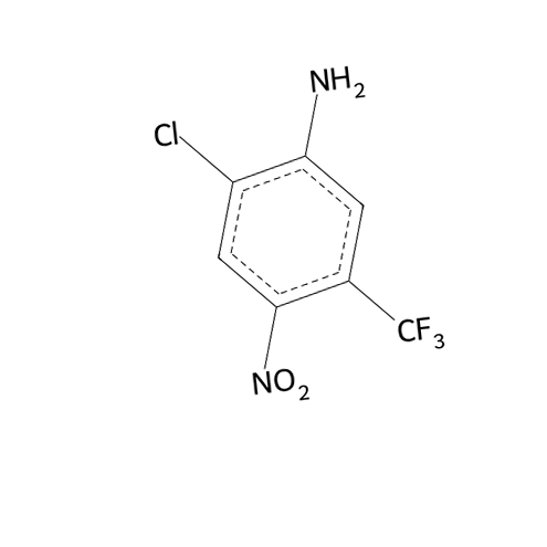 Nc1cc(C(F)(F)F)c([N+](=O)[O-])cc1Cl